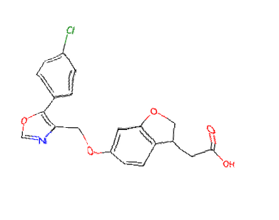 O=C(O)CC1COc2cc(OCc3ncoc3-c3ccc(Cl)cc3)ccc21